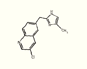 Cc1c[nH]c(Cc2ccc3ncc(Cl)cc3c2)n1